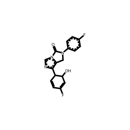 O=C1N(c2ccc(F)cc2)Cc2c(C3C=CC(F)=CC3O)ncn21